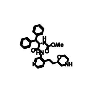 COC(=O)N[C@H](C(=O)Nc1cnccc1CC[C@@H]1CNCCO1)C(c1ccccc1)c1ccccc1